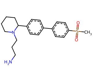 CS(=O)(=O)c1ccc(-c2ccc(C3CCCCN3CCCN)cc2)cc1